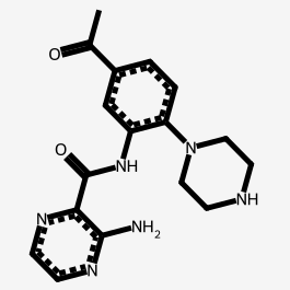 CC(=O)c1ccc(N2CCNCC2)c(NC(=O)c2nccnc2N)c1